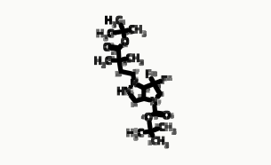 CC(C)(C)OC(=O)N1CC(F)(F)C2C1CNN2CCC(C)(C)C(=O)OC(C)(C)C